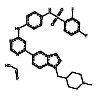 CN1CCC(Cn2ccc3cc(-c4cc(Nc5ccc(NS(=O)(=O)c6ccc(F)cc6F)cc5)ncn4)ccc32)CC1.O=CO